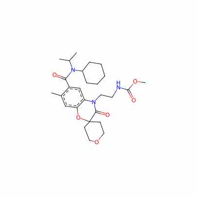 COC(=O)NCCN1C(=O)C2(CCOCC2)Oc2cc(C)c(C(=O)N(C(C)C)C3CCCCC3)cc21